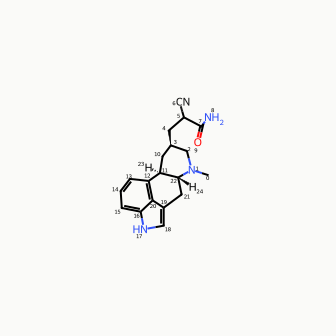 CN1C[C@H](CC(C#N)C(N)=O)C[C@@H]2c3cccc4[nH]cc(c34)C[C@H]21